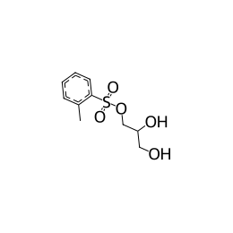 Cc1ccccc1S(=O)(=O)OCC(O)CO